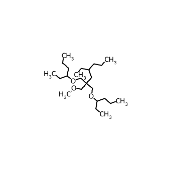 CCCC(CC)CC(COC)(COC(CC)CCC)COC(CC)CCC